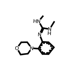 CNC(=Nc1ccccc1N1CCOCC1)NC